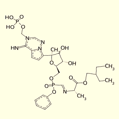 CCC(CC)COC(=O)[C@H](C)/N=C/P(=O)(OC[C@H]1O[C@@](C)(c2ccc3c(=N)n(COP(=O)(O)O)cnn23)[C@H](O)[C@@H]1O)Oc1ccccc1